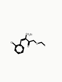 CCOC(=O)C(=Cc1ccccc1Cl)C(=O)COCI